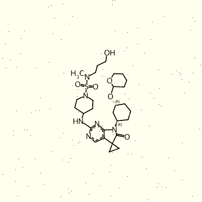 CN(CCCO)S(=O)(=O)N1CCC(Nc2ncc3c(n2)N([C@@H]2CCC[C@@H](OC4CCCCO4)C2)C(=O)C32CC2)CC1